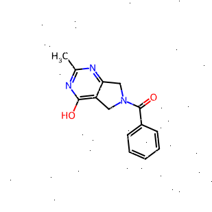 Cc1nc(O)c2c(n1)CN(C(=O)c1ccccc1)C2